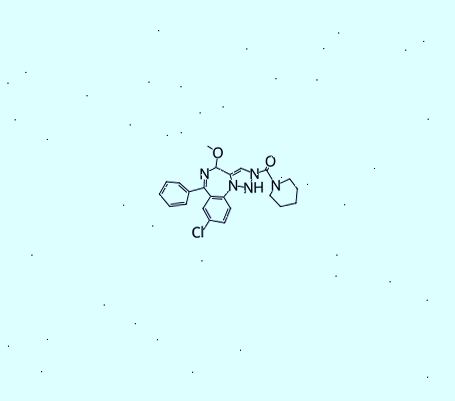 COC1N=C(c2ccccc2)c2cc(Cl)ccc2N2NN(C(=O)N3CCCCC3)C=C12